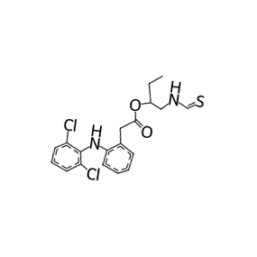 CCC(CNC=S)OC(=O)Cc1ccccc1Nc1c(Cl)cccc1Cl